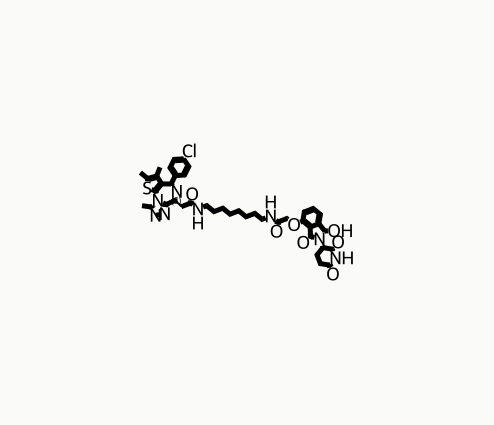 Cc1sc2c(c1C)C(c1ccc(Cl)cc1)=N[C@@H](CC(=O)NCCCCCCCCNC(=O)COc1cccc3c1C(=O)N(C1CCC(=O)NC1=O)C3O)c1nnc(C)n1-2